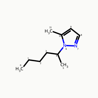 CCCCC(C)n1nccc1C